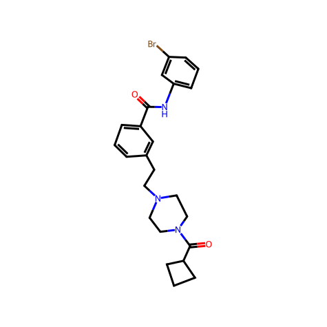 O=C(Nc1cccc(Br)c1)c1cccc(CCN2CCN(C(=O)C3CCC3)CC2)c1